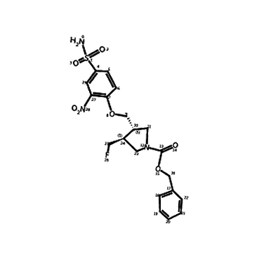 NS(=O)(=O)c1ccc(OC[C@@H]2CN(C(=O)OCc3ccccc3)C[C@H]2CF)c([N+](=O)[O-])c1